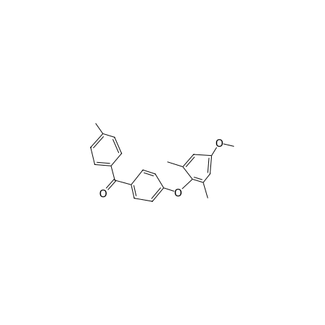 COc1cc(C)c(Oc2ccc(C(=O)c3ccc(C)cc3)cc2)c(C)c1